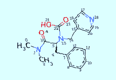 CN(C)C(=O)[C@H](Cc1ccccc1)N(Cc1ccncc1)C(=O)O